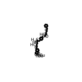 CCCC[Si]1(CCCC)OCc2cc(OCC(O)CNC(C)Cc3ccc(OCP(=O)(O)CCCOCc4ccccc4)cc3)ccc2O1